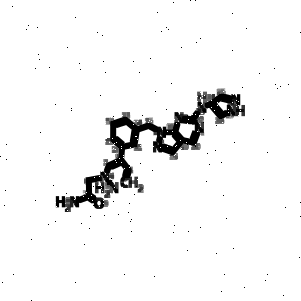 C=C/C(=C\N(N)CC(N)=O)c1cccc(Cn2ncc3cnc(Nc4cn[nH]c4)nc32)c1